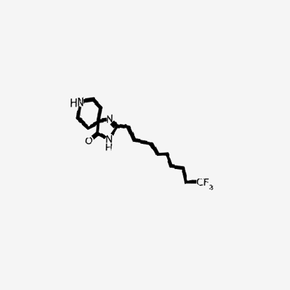 O=C1NC(CCCCCCCCC(F)(F)F)=NC12CCNCC2